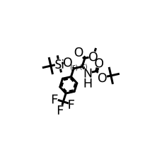 COC(=O)[C@@H](NC(=O)OC(C)(C)C)[C@@H](O[Si](C)(C)C(C)(C)C)c1ccc(C(F)(F)F)cc1